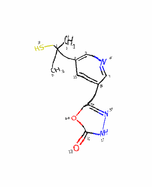 CC(C)(S)c1cncc(-c2n[nH]c(=O)o2)c1